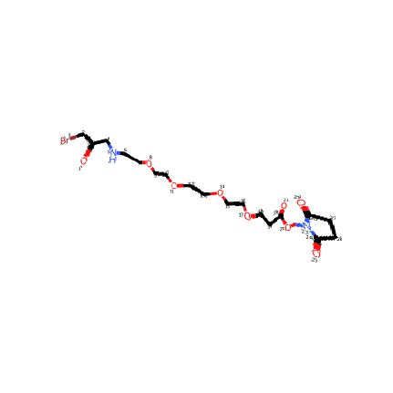 O=C(CBr)CNCCOCCOCCOCCOCCC(=O)ON1C(=O)CCC1=O